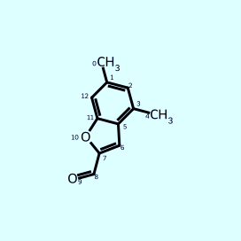 Cc1cc(C)c2cc(C=O)oc2c1